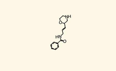 O=C(NCC=CC1CNCCO1)c1ccccc1